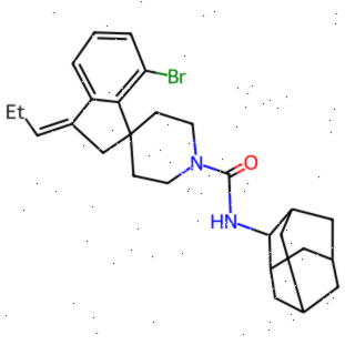 CC/C=C1/CC2(CCN(C(=O)NC3C4CC5CC(C4)CC3C5)CC2)c2c(Br)cccc21